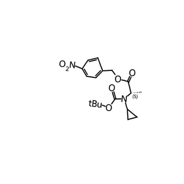 C[C@@H](C(=O)OCc1ccc([N+](=O)[O-])cc1)N(C(=O)OC(C)(C)C)C1CC1